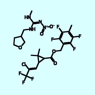 CN/C(=N/[N+](=O)[O-])NCC1CCOC1.Cc1c(F)c(F)c(COC(=O)C2C(/C=C(\Cl)C(F)(F)F)C2(C)C)c(F)c1F